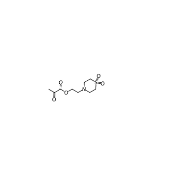 CC(=O)C(=O)OCCN1CCS(=O)(=O)CC1